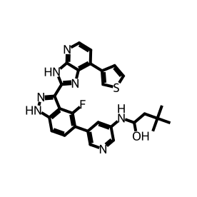 CC(C)(C)CC(O)Nc1cncc(-c2ccc3[nH]nc(-c4nc5c(-c6ccsc6)ccnc5[nH]4)c3c2F)c1